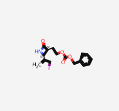 C=C(CI)[C@H]1NC(=O)[C@H]1CCOC(=O)OCc1ccccc1